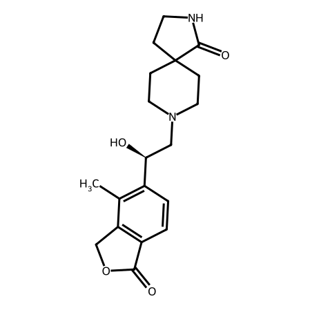 Cc1c([C@@H](O)CN2CCC3(CCNC3=O)CC2)ccc2c1COC2=O